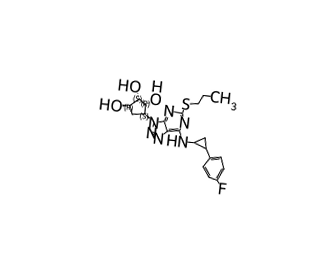 CCCSc1nc(NC2CC2c2ccc(F)cc2)c2nnn([C@H]3C[C@@H](O)[C@H](O)[C@@H]3O)c2n1